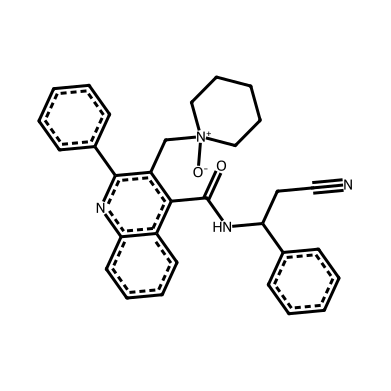 N#CCC(NC(=O)c1c(C[N+]2([O-])CCCCC2)c(-c2ccccc2)nc2ccccc12)c1ccccc1